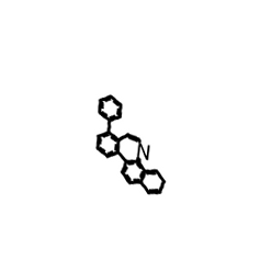 C1=Cc2ccc3c(c2=CC1)=NC=Cc1c(-c2ccccc2)cccc1-3